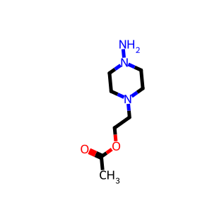 CC(=O)OCCN1CCN(N)CC1